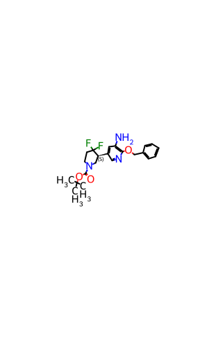 CC(C)(C)OC(=O)N1CCC(F)(F)[C@@H](c2cnc(OCc3ccccc3)c(N)c2)C1